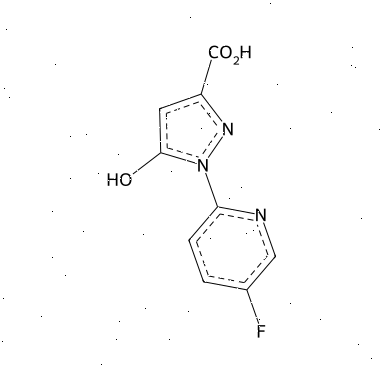 O=C(O)c1cc(O)n(-c2ccc(F)cn2)n1